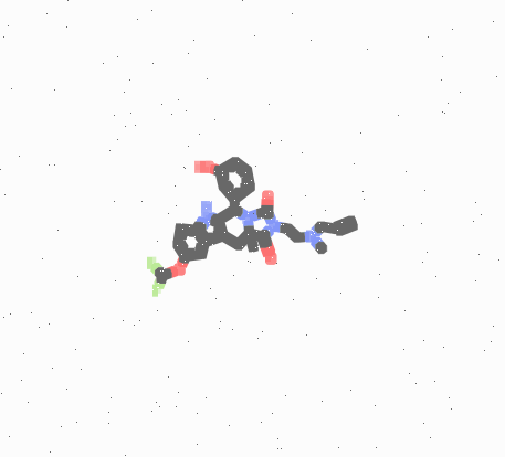 C#CCN(C)CCN1C(=O)N2C(c3cccc(O)c3)c3[nH]c4ccc(OC(F)F)cc4c3CC2(C)C1=O